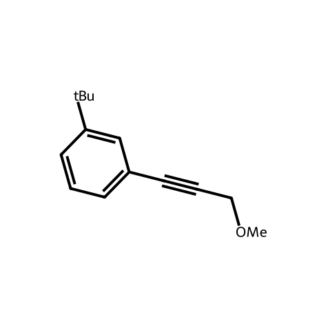 COCC#Cc1cccc(C(C)(C)C)c1